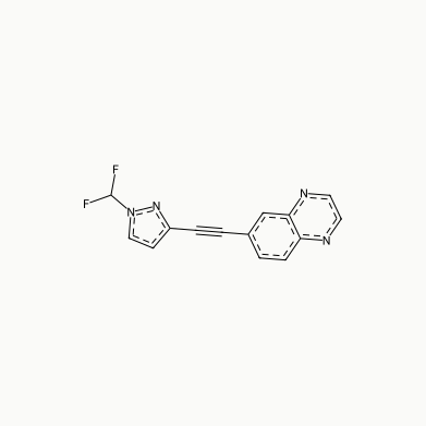 FC(F)n1ccc(C#Cc2ccc3nccnc3c2)n1